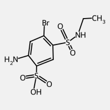 CCNS(=O)(=O)c1cc(S(=O)(=O)O)c(N)cc1Br